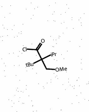 COCC(C(=O)Cl)(C(C)C)C(C)(C)C